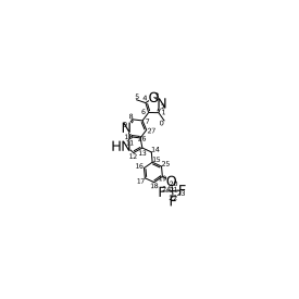 Cc1noc(C)c1-c1cnc2[nH]cc(Cc3cccc(OC(F)(F)F)c3)c2c1